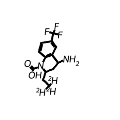 [2H]C([2H])([2H])CC1CC(N)c2cc(C(F)(F)F)ccc2N1C(=O)O